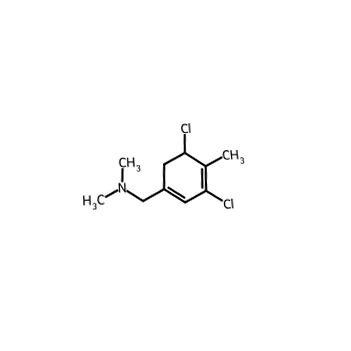 CC1=C(Cl)C=C(CN(C)C)CC1Cl